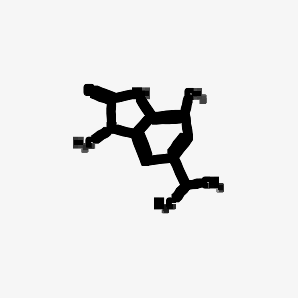 Cc1cc(C(C)C)cc2c1[nH]c(=O)n2C